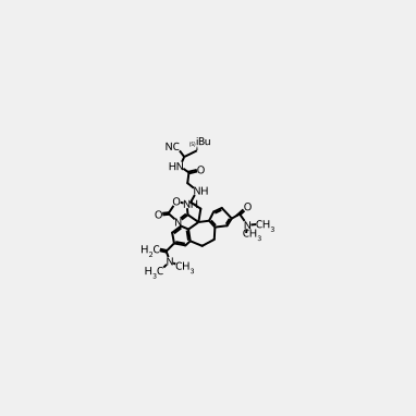 C=C(c1ccc2c(c1)CCc1cc(C(=O)N(C)C)ccc1C2(CCNCC(=O)NC(C#N)C[C@@H](C)CC)c1nc(=O)o[nH]1)N(C)C